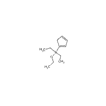 CCO[Si](CC)(CC)C1=CC=CC1